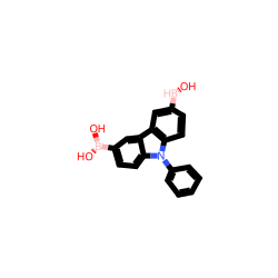 OBc1ccc2c(c1)c1cc(B(O)O)ccc1n2-c1ccccc1